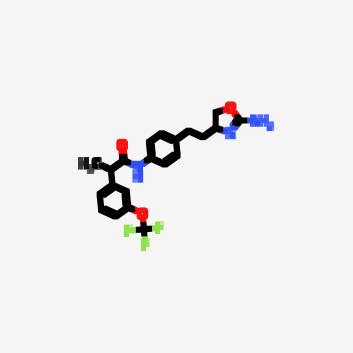 CC(C(=O)Nc1ccc(CCC2COC(N)=N2)cc1)c1cccc(OC(F)(F)F)c1